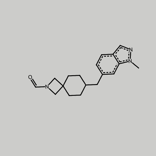 Cn1ncc2ccc(CC3CCC4(CC3)CN(C=O)C4)cc21